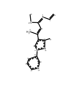 C=C/N=C(\C=C(/N)c1cn(-c2cccnc2)nc1C)OC